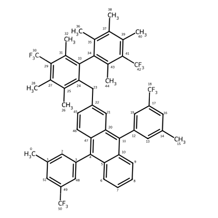 Cc1cc(-c2c3ccccc3c(-c3cc(C)cc(C(F)(F)F)c3)c3cc(Cc4c(C)c(C)c(C(F)(F)F)c(C)c4-c4c(C)c(C)c(C)c(C(F)(F)F)c4C)ccc23)cc(C(F)(F)F)c1